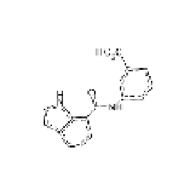 O=C(O)c1cccc(NC(=O)c2cccc3cc[nH]c23)c1